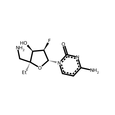 CC[C@@]1(CN)O[C@@H](n2ccc(N)nc2=O)[C@H](F)[C@@H]1O